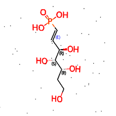 O=P(O)(O)/C=C/[C@@H](O)[C@@H](O)[C@H](O)CCO